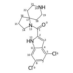 O=C(c1cc2c(Cl)cc(Cl)cc2[nH]1)N1CCCC12CCNCC2